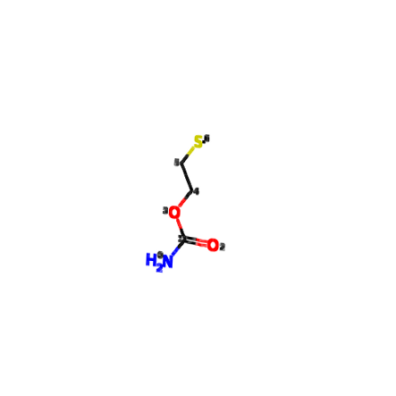 NC(=O)OCC[S]